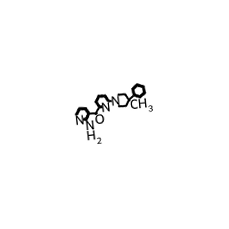 CC1(c2ccccc2)CCN(c2cccc(C(=O)c3cccnc3N)n2)CC1